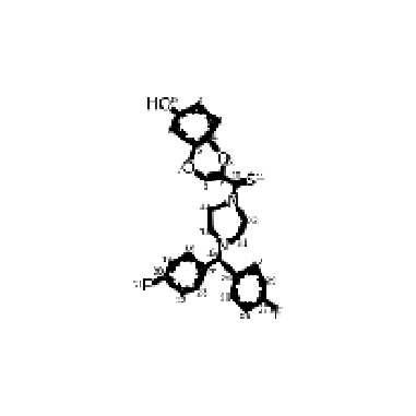 Oc1ccc2c(c1)OC=C(C(=S)N1CCN(C(c3ccc(F)cc3)c3ccc(F)cc3)CC1)O2